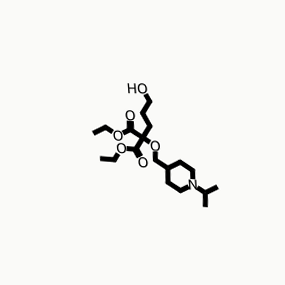 CCOC(=O)C(CCCO)(OCC1CCN(C(C)C)CC1)C(=O)OCC